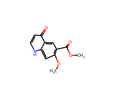 COC(=O)c1cc2c(=O)cc[nH]c2cc1OC